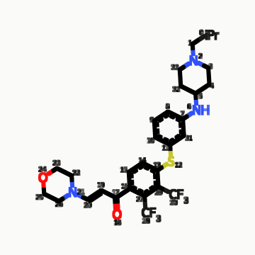 CC(C)CN1CCC(Nc2cccc(Sc3ccc(C(=O)C=CN4CCOCC4)c(C(F)(F)F)c3C(F)(F)F)c2)CC1